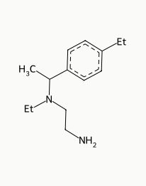 CCc1ccc(C(C)N(CC)CCN)cc1